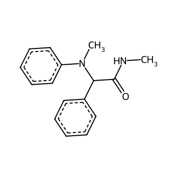 CNC(=O)C(c1ccccc1)N(C)c1ccccc1